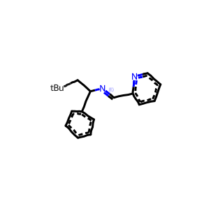 CC(C)(C)CC(/N=C/c1ccccn1)c1ccccc1